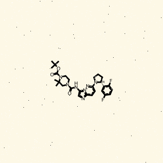 CC(C)(C)OC(=O)N1CCN(C(=O)Nc2cnc3ccc(N4CCC[C@@H]4c4cc(F)ccc4F)nn23)CC1(C)C